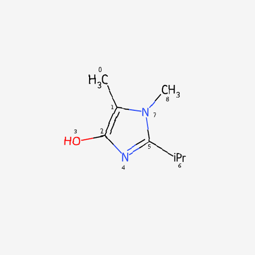 Cc1c(O)nc(C(C)C)n1C